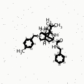 Cc1ccc(CN2C[C@H]3C[C@]4(C(=O)NCc5ccccc5)NC(=O)[C@H]3[C@H]2[C@H]4CC(C)C)cc1